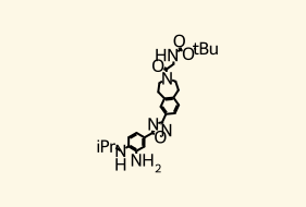 CC(C)Nc1ccc(-c2nc(-c3ccc4c(c3)CCN(C(=O)CNC(=O)OC(C)(C)C)CC4)no2)cc1N